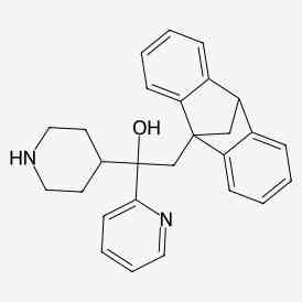 OC(CC12CC(c3ccccc31)c1ccccc12)(c1ccccn1)C1CCNCC1